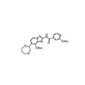 COc1cc(C(=O)Nc2nc3c(OC)c(C4COCCCO4)ccc3s2)ccn1